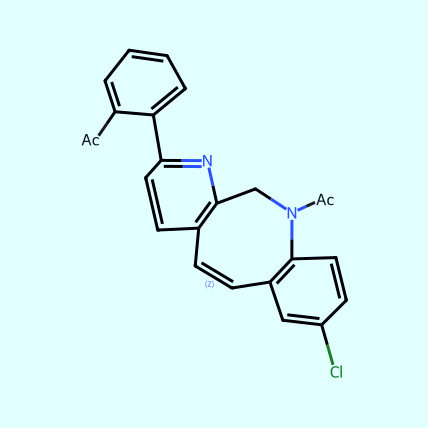 CC(=O)c1ccccc1-c1ccc2c(n1)CN(C(C)=O)c1ccc(Cl)cc1/C=C\2